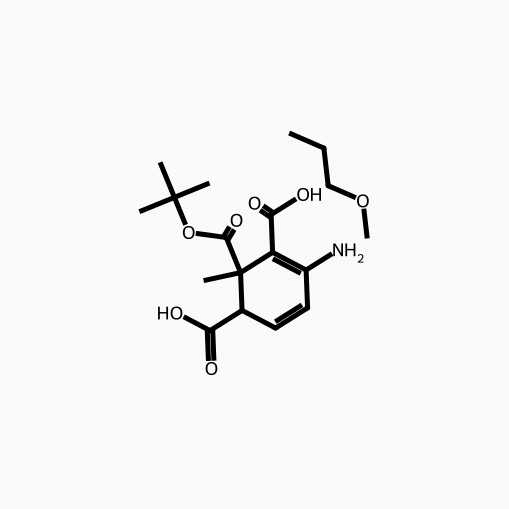 CC(C)(C)OC(=O)C1(C)C(C(=O)O)=C(N)C=CC1C(=O)O.CCCOC